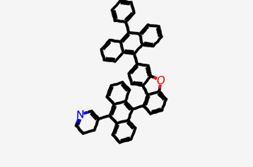 C1=NC=C(c2c3ccccc3c(-c3cccc4oc5cc(-c6c7ccccc7c(-c7ccccc7)c7ccccc67)ccc5c34)c3ccccc23)CC1